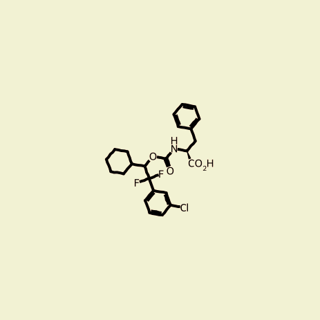 O=C(N[C@@H](Cc1ccccc1)C(=O)O)OC(C1CCCCC1)C(F)(F)c1cccc(Cl)c1